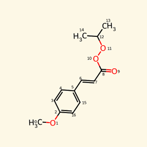 COc1ccc(C=CC(=O)OOC(C)C)cc1